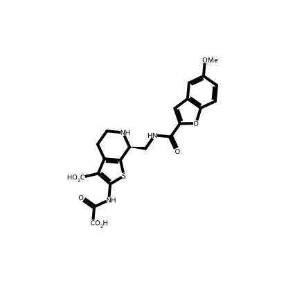 COc1ccc2oc(C(=O)NC[C@@H]3NCCc4c3sc(NC(=O)C(=O)O)c4C(=O)O)cc2c1